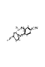 N#Cc1ccc(N2CCC(F)CC2)c(N)c1